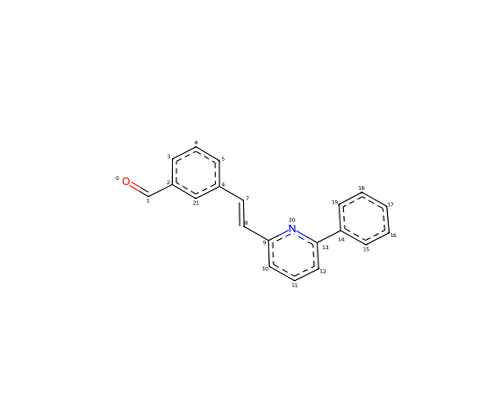 O=Cc1cccc(/C=C/c2cccc(-c3ccccc3)n2)c1